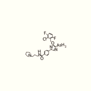 O=C(NCCCN1CCCC1)c1ccc(-c2cnc([AsH2])c(OCc3c(F)ccc(F)c3Cl)n2)cc1